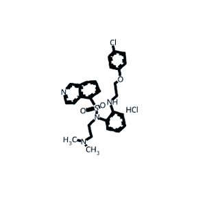 CN(C)CCN(c1ccccc1NCCOc1ccc(Cl)cc1)S(=O)(=O)c1cccc2cnccc12.Cl